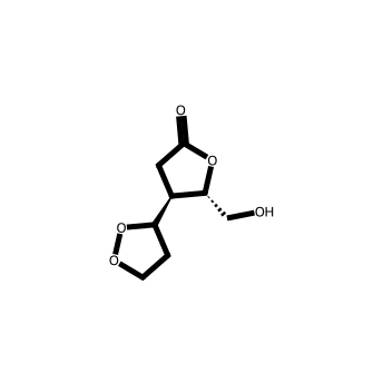 O=C1C[C@H](C2CCOO2)[C@@H](CO)O1